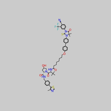 Cc1ncsc1-c1ccc(CNC(=O)[C@@H]2C[C@@H](O)CN2C(=O)[C@@H](NC(=O)CCCCCCCOc2ccc(-c3ccc(N4C(=S)N(c5ccc(C#N)c(C(F)(F)F)c5)C(=O)C4(C)C)cc3)cc2)C(C)(C)C)cc1